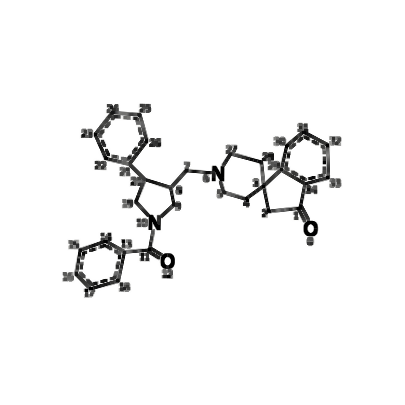 O=C1CC2(CCN(CC3CN(C(=O)c4ccccc4)CC3c3ccccc3)CC2)c2ccccc21